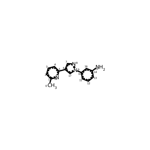 Cc1cccc(-c2cnn(-c3cccc(N)c3)c2)n1